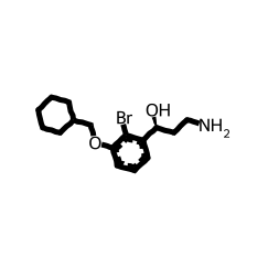 NCC[C@H](O)c1cccc(OCC2CCCCC2)c1Br